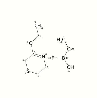 CCOC1=NCCSC1.COB(O)F